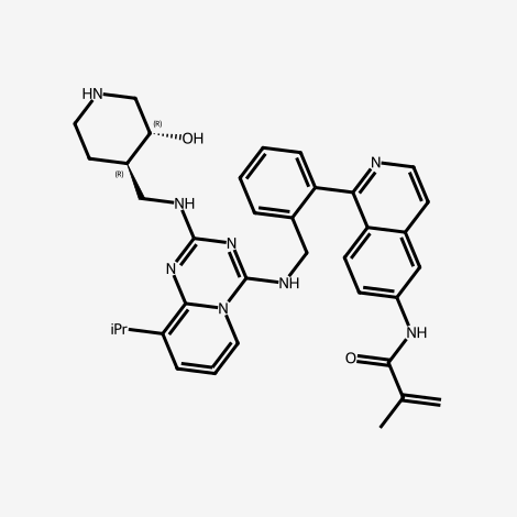 C=C(C)C(=O)Nc1ccc2c(-c3ccccc3CNC3=NC(NC[C@H]4CCNC[C@@H]4O)=NC4=C(C(C)C)C=C=CN34)nccc2c1